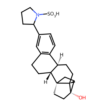 C[C@]12CC[C@@H]3c4ccc(C5CCCN5S(=O)(=O)O)cc4CC[C@H]3[C@]13CC[C@]2(O)CC3